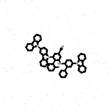 N#Cc1cc(Nc2ccc(-n3c4ccccc4c4ccccc43)cc2-c2ccccc2)c(-c2c(F)cccc2F)c(-n2c3ccccc3c3cc(-n4c5ccccc5c5ccccc54)ccc32)c1